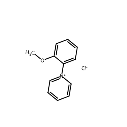 COc1ccccc1-[n+]1ccccc1.[Cl-]